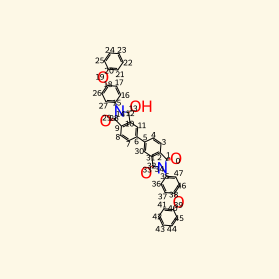 O=C1c2ccc(-c3ccc4c(c3)C(O)N(c3ccc(Oc5ccccc5)cc3)C4=O)cc2C(=O)N1c1ccc(Oc2ccccc2)cc1